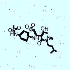 C=NN(CCC(C)C)C(=O)/C(C1=CS(=O)(=O)c2cc(NS(C)(=O)=O)ccc2N1)=C(\C)O